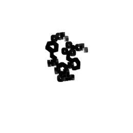 COc1nc(NCCc2ccc(OC(F)(F)F)cc2)cc(N2CCCCC2CC(=O)OC(=O)C(F)(F)F)n1